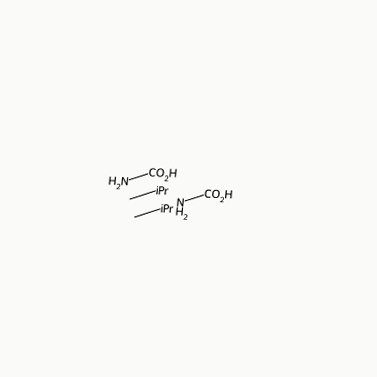 CC(C)C.CC(C)C.NC(=O)O.NC(=O)O